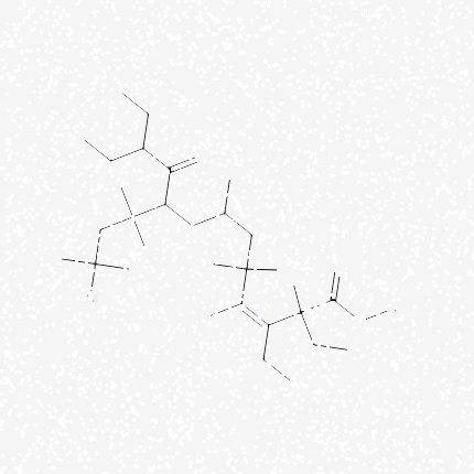 CC/C(=C(\C)C(C)(C)CC(C)CC(C(=O)C(CC)CC)C(C)(C)CC(C)(C)N)C(C)(CC)C(=O)BN